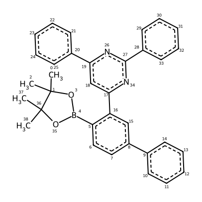 CC1(C)OB(c2ccc(-c3ccccc3)cc2-c2cc(-c3ccccc3)nc(-c3ccccc3)n2)OC1(C)C